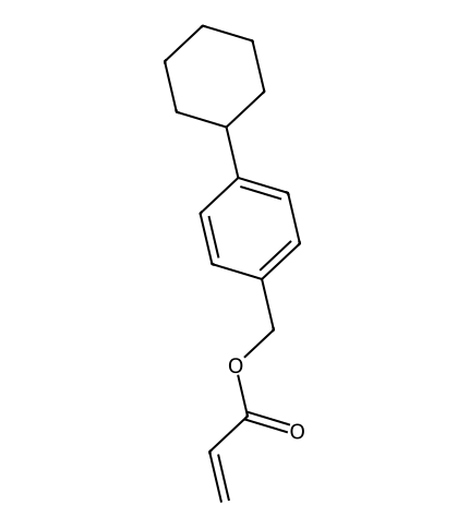 C=CC(=O)OCc1ccc(C2CCCCC2)cc1